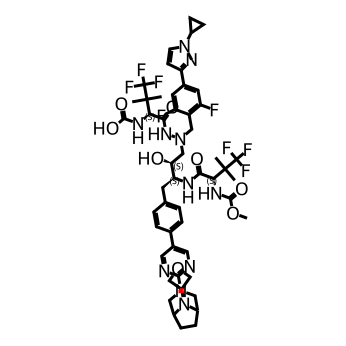 COC(=O)N[C@H](C(=O)N[C@@H](Cc1ccc(-c2cnc(N3CC4CCC(C3)N4C3COC3)nc2)cc1)[C@@H](O)CN(Cc1c(F)cc(-c2ccn(C3CC3)n2)cc1F)NC(=O)[C@@H](NC(=O)O)C(C)(C)C(F)(F)F)C(C)(C)C(F)(F)F